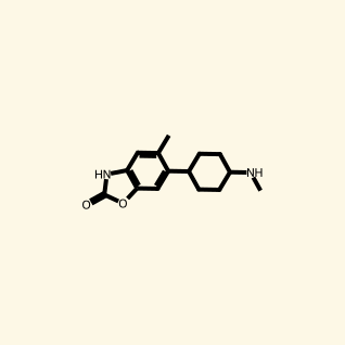 CNC1CCC(c2cc3oc(=O)[nH]c3cc2C)CC1